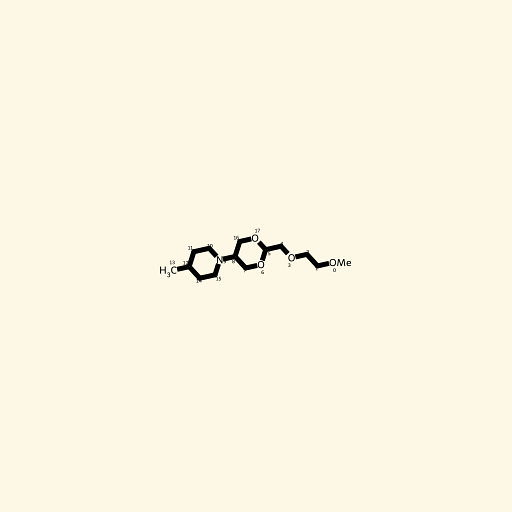 COCCOCC1OCC(N2CCC(C)CC2)CO1